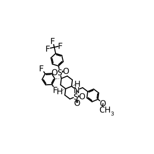 COc1ccc(CN2[C@@H]3CC[C@](c4cc(F)ccc4F)(S(=O)(=O)c4ccc(C(F)(F)F)cc4)C[C@@H]3CCS2(=O)=O)cc1